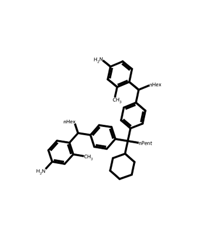 CCCCCCC(c1ccc(C(CCCCC)(c2ccc(C(CCCCCC)c3ccc(N)cc3C)cc2)C2CCCCC2)cc1)c1ccc(N)cc1C